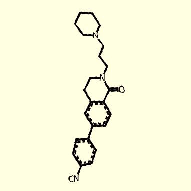 [C-]#[N+]c1ccc(-c2ccc3c(c2)CCN(CCCN2CCCCC2)C3=O)cc1